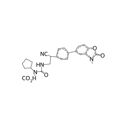 Cn1c(=O)oc2ccc(-c3ccc(C(C#N)CNC(=O)N(C(=O)O)C4CCCC4)cc3)cc21